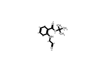 CC(C)(C)OC(=O)C1=C(NC[C]=O)CC=CC1